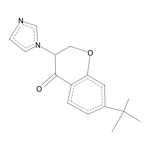 CC(C)(C)c1ccc2c(c1)OCC(n1ccnc1)C2=O